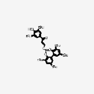 CC(C)(C)c1cc(C(C)(C)C)c2op(OCCC(=O)c3cc(C(C)(C)C)c(O)c(C(C)(C)C)c3)oc3c(C(C)(C)C)cc(C(C)(C)C)cc3c2c1